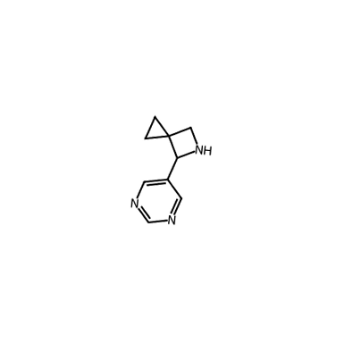 c1ncc(C2NCC23CC3)cn1